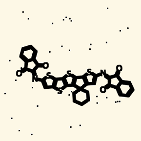 O=c1c(=Nc2cc3c(s2)-c2sc4c(sc5cc(N=c6c(=O)c7ccccc7c6=O)sc54)c2C32CCCCC2)c(=O)c2ccccc12